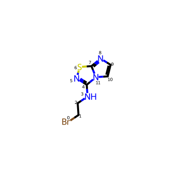 BrCCNc1nsc2nccn12